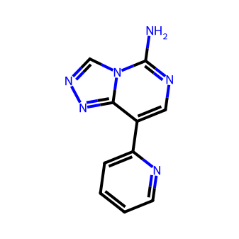 Nc1ncc(-c2ccccn2)c2nncn12